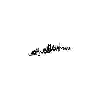 COCCNC(=O)Oc1ccc(C(=O)NS(=O)(=O)c2ccc(CCNC(=O)c3ccc(Cl)cc3)cc2)cn1